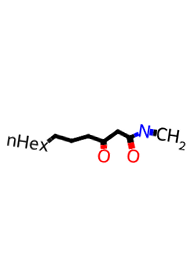 C=NC(=O)CC(=O)CCCCCCCCC